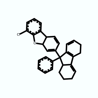 Clc1cccc2c1OC1C=C(C3(c4ccccc4)C4=C(CCC=C4)C4=CCCCC43)C=CC21